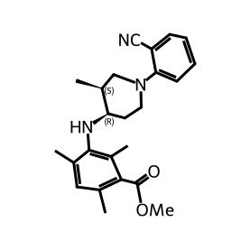 COC(=O)c1c(C)cc(C)c(N[C@@H]2CCN(c3ccccc3C#N)C[C@@H]2C)c1C